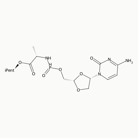 CCC[C@H](C)OC(=O)[C@H](C)N[PH](=O)OC[C@H]1OC[C@@H](n2ccc(N)nc2=O)O1